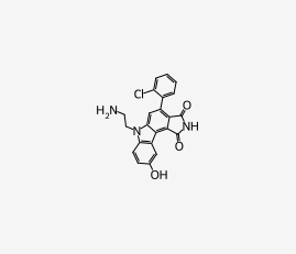 NCCn1c2ccc(O)cc2c2c3c(c(-c4ccccc4Cl)cc21)C(=O)NC3=O